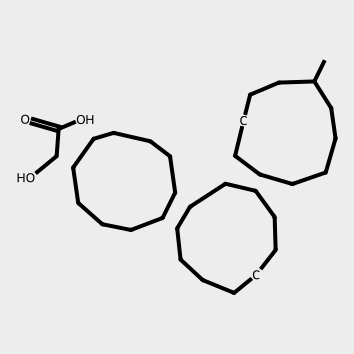 C1CCCCCCCCC1.C1CCCCCCCCC1.CC1CCCCCCCCC1.O=C(O)CO